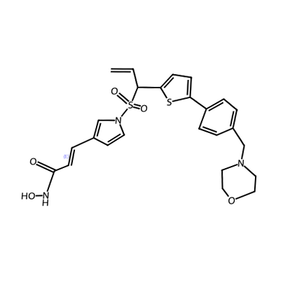 C=CC(c1ccc(-c2ccc(CN3CCOCC3)cc2)s1)S(=O)(=O)n1ccc(/C=C/C(=O)NO)c1